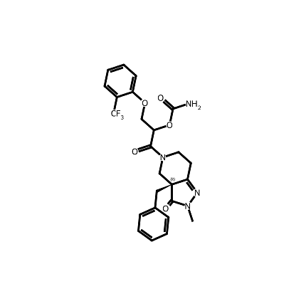 CN1N=C2CCN(C(=O)C(COc3ccccc3C(F)(F)F)OC(N)=O)C[C@@]2(Cc2ccccc2)C1=O